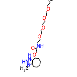 CC(=O)CCOCCOCCOCCOCCNC(=O)COC1CCCCCC2=C1NNN2C